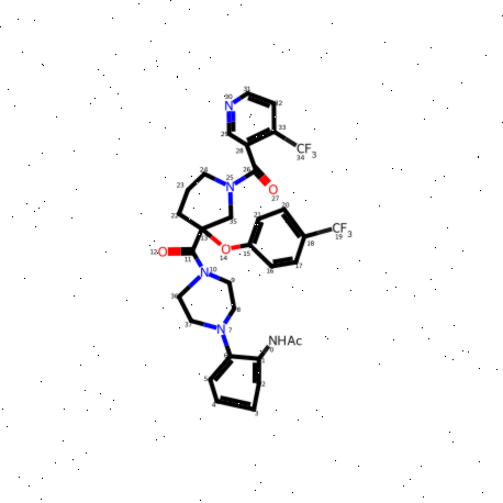 CC(=O)Nc1ccccc1N1CCN(C(=O)C2(Oc3ccc(C(F)(F)F)cc3)CCCN(C(=O)c3cnccc3C(F)(F)F)C2)CC1